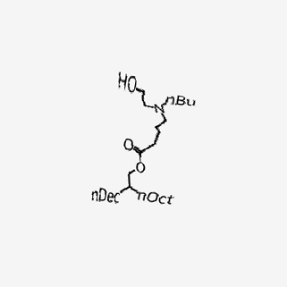 CCCCCCCCCCC(CCCCCCCC)COC(=O)CCCN(CCO)CCCC